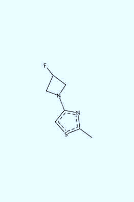 Cc1nc(N2CC(F)C2)cs1